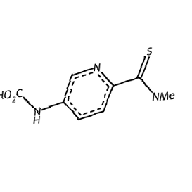 CNC(=S)c1ccc(NC(=O)O)cn1